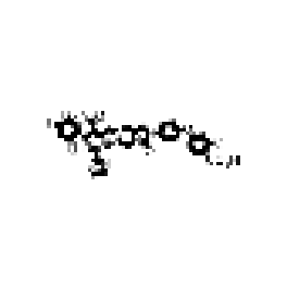 COC(=O)C1=C(CN2CCN3C(=O)N(c4ccc(Oc5ccc(C(=O)O)c(Cl)c5)cc4)C[C@@H]3C2)NC(c2nccs2)=N[C@H]1c1ccc(F)cc1Cl